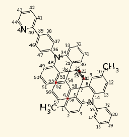 Cc1ccc2c(c1)C1(c3cc(C)ccc3N2c2ccccc2)c2ccccc2C2(c3ccccc3N(c3ccc(-c4ccccn4)cc3)c3ccccc32)c2ccccc21